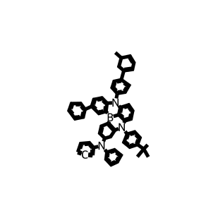 CC1C=CC=C(c2ccc(N3c4ccc(-c5ccccc5)cc4B4C5=C(CC(N(c6ccccc6)c6ccccc6)C=C5)N(c5ccc(C(C)(C)C)cc5)c5cccc3c54)cc2)C1